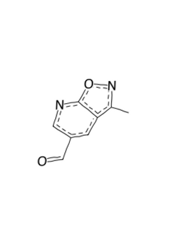 Cc1noc2ncc(C=O)cc12